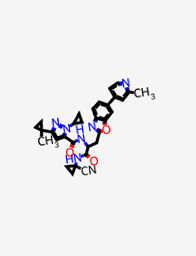 Cc1cc(-c2ccc3nc(CC(NC(=O)c4cc(C5(C)CC5)nn4C4CC4)C(=O)NC4(C#N)CC4)oc3c2)ccn1